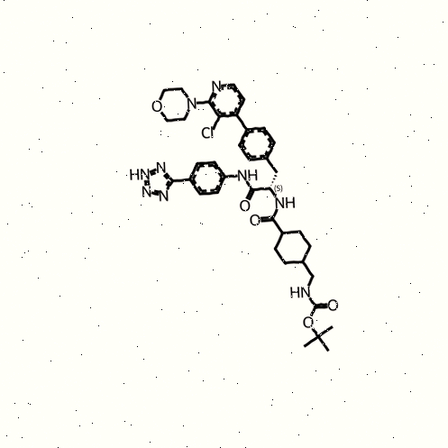 CC(C)(C)OC(=O)NCC1CCC(C(=O)N[C@@H](Cc2ccc(-c3ccnc(N4CCOCC4)c3Cl)cc2)C(=O)Nc2ccc(-c3nn[nH]n3)cc2)CC1